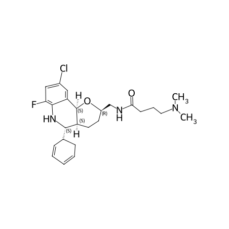 CN(C)CCCC(=O)NC[C@H]1CC[C@@H]2[C@H](O1)c1cc(Cl)cc(F)c1N[C@H]2C1C=CC=CC1